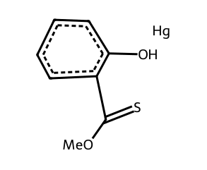 COC(=S)c1ccccc1O.[Hg]